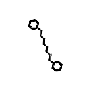 C(=CNCc1ccccc1)CCCCc1ccccc1